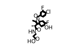 Cc1c([C@H](C)C(=O)NCCC(=O)O)c2cc(O)c(F)cc2n1C(=O)c1ccc(Cl)c(F)c1